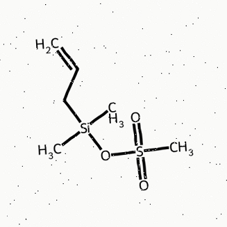 C=CC[Si](C)(C)OS(C)(=O)=O